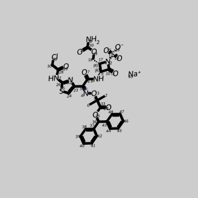 CC(C)(O/N=C(\C(=O)N[C@H]1C(=O)N(S(=O)(=O)[O-])[C@H]1COC(N)=O)c1csc(NC(=O)CCl)n1)C(=O)OC(c1ccccc1)c1ccccc1.[Na+]